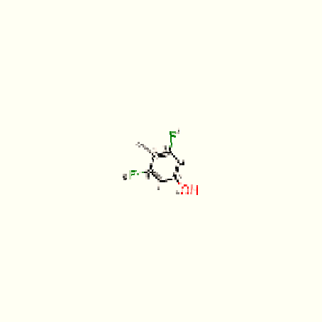 Cc1c(F)cc(O)cc1F